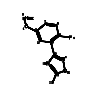 CCCCCCOc1ccc(F)c(-c2noc(C)n2)c1